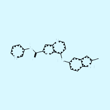 Cc1cc2cc(Nc3ccnc4cc(C(=O)Nc5cccnc5)sc34)ccc2[nH]1